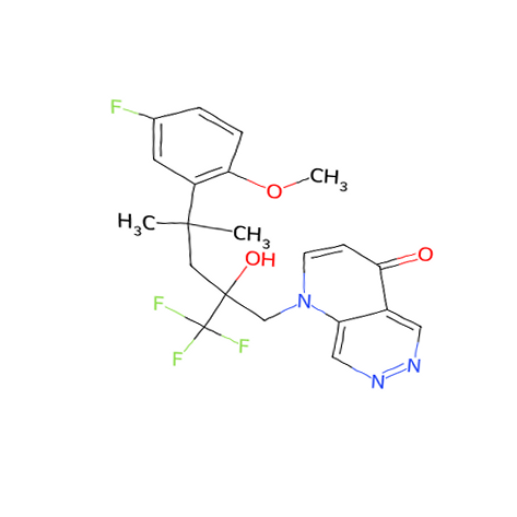 COc1ccc(F)cc1C(C)(C)CC(O)(Cn1ccc(=O)c2cnncc21)C(F)(F)F